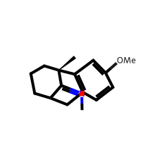 C/N=C1\C2CCC[C@]1(C)c1cc(OC)ccc1C2